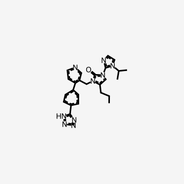 CCCc1cn(-c2nccn2C(C)C)c(=O)n1Cc1cnccc1-c1ccc(-c2nnn[nH]2)cc1